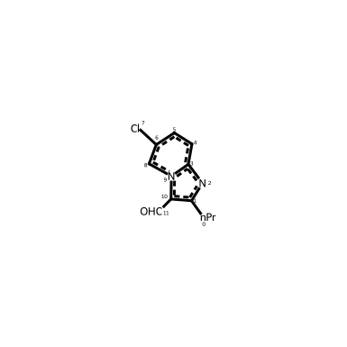 CCCc1nc2ccc(Cl)cn2c1C=O